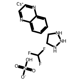 C1CNNN1.FC(F)F.O=S(=O)([O-])O.[Cs+].c1ccc2nccnc2c1